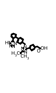 CC(C)c1nc(-c2ccc(CC(=O)O)cc2)n(Cc2ccc(-c3ccccc3-c3nnn[nH]3)cc2)n1